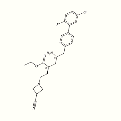 CCOC(=O)[C@H](CCN1CC(C#N)C1)C[C@H](N)Cc1ccc(-c2cc(Cl)ccc2F)cc1